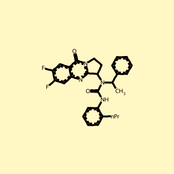 CCCc1ccccc1NC(=O)N(C(C)c1ccccc1)C1CCn2c1nc1cc(F)c(F)cc1c2=O